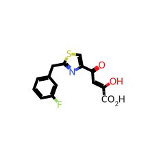 O=C(O)/C(O)=C/C(=O)c1csc(Cc2cccc(F)c2)n1